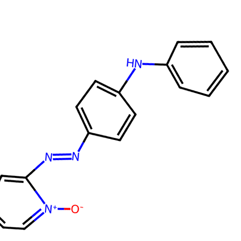 [O-][n+]1ccccc1N=Nc1ccc(Nc2ccccc2)cc1